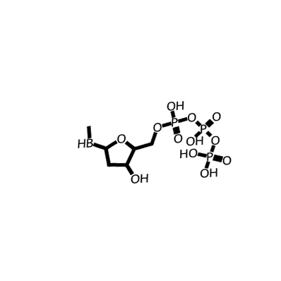 CBC1CC(O)C(COP(=O)(O)OP(=O)(O)OP(=O)(O)O)O1